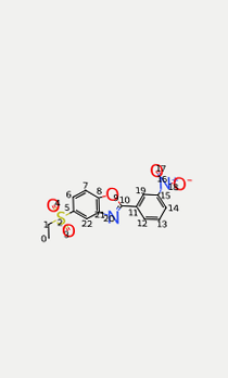 CCS(=O)(=O)c1ccc2oc(-c3cccc([N+](=O)[O-])c3)nc2c1